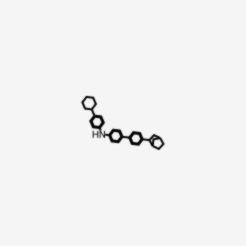 c1cc(-c2ccc(C3CC4CCC3C4)cc2)ccc1Nc1ccc(C2CCCCC2)cc1